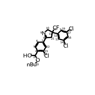 CCCCOC(O)c1ccc(C2=NCC(c3cc(Cl)cc(Cl)c3)(C(F)(F)F)C2)cc1Cl